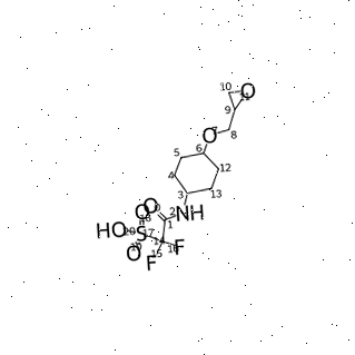 O=C(NC1CCC(OCC2CO2)CC1)C(F)(F)S(=O)(=O)O